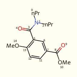 CCCN(CCC)C(=O)c1cc(C(=O)OC)ccc1OC